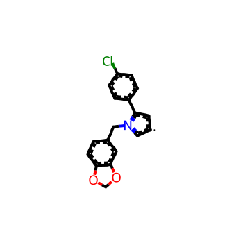 Clc1ccc(-c2c[c]cn2Cc2ccc3c(c2)OCO3)cc1